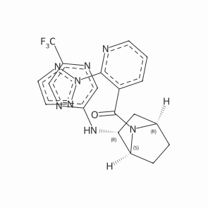 O=C(c1cccnc1-n1nccn1)N1[C@@H]2CC[C@H]1[C@H](Nc1cnc(C(F)(F)F)cn1)C2